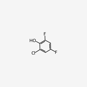 Oc1c(F)cc(F)cc1Cl